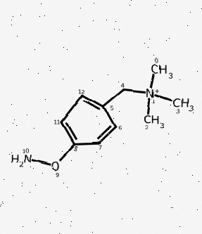 C[N+](C)(C)Cc1ccc(ON)cc1